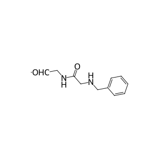 O=[C]CNC(=O)CNCc1ccccc1